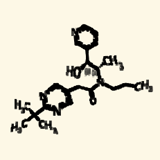 CCCN(C(=O)Cc1cnc(C(C)(C)C)nc1)[C@@H](C)[C@@H](O)c1cccnc1